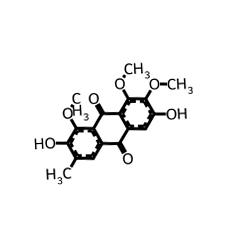 COc1c(O)cc2c(c1OC)C(=O)c1c(cc(C)c(O)c1OC)C2=O